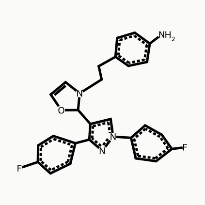 Nc1ccc(CCN2C=COC2c2cn(-c3ccc(F)cc3)nc2-c2ccc(F)cc2)cc1